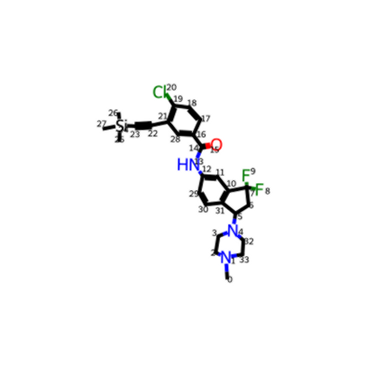 CN1CCN(C2CC(F)(F)c3cc(NC(=O)c4ccc(Cl)c(C#C[Si](C)(C)C)c4)ccc32)CC1